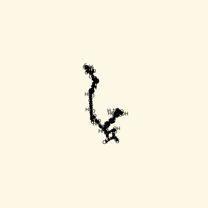 Cc1cc(-c2ccc(NC(=O)[C@@H](CCCCNC(=O)CCN3C(=O)CC(SCCC(=O)NCCOCCOCCC(=O)Nc4ccc(-c5cn(Cc6cccc7c6CN(C(=O)C[C@@H]6C[C@@H](C(=O)N8CC(F)(F)C[C@H]8C#N)NC6=O)C7)nn5)cc4)C3=O)NC(=O)CN3CCN(COC=O)CCN(COC=O)CCN(CC(=O)O)CC3)c(C)c2)ccc1/N=N/c1ccc2c(S(=O)(=O)O)cc(C)c(N)c2c1O